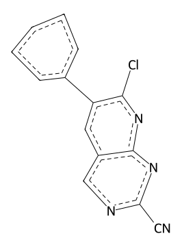 N#Cc1ncc2cc(-c3ccccc3)c(Cl)nc2n1